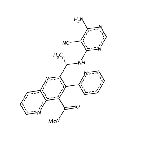 CNC(=O)c1c(-c2ccccn2)c([C@H](C)Nc2ncnc(N)c2C#N)nc2cccnc12